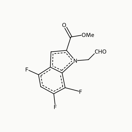 COC(=O)c1cc2c(F)cc(F)c(F)c2n1CC=O